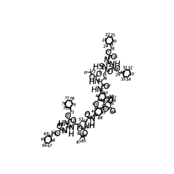 CC(C)OC(=O)N[C@@H](CCCN(S)/C(=N/C(=O)OCc1ccccc1)NC(=O)OCc1ccccc1)C(=O)Nc1ccc2c(c1)Oc1cc(NC(=O)[C@H](CCCN/C(=N/C(=O)OCc3ccccc3)NC(=O)OCc3ccccc3)NC(=O)OC(C)(C)C)ccc1C21OC(=O)c2ccccc21